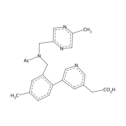 CC(=O)N(Cc1cnc(C)cn1)Cc1cc(C)ccc1-c1cncc(CC(=O)O)c1